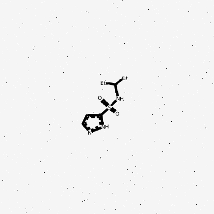 CCC(CC)NS(=O)(=O)c1ccn[nH]1